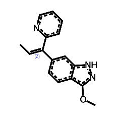 C/C=C(/c1ccc2c(OC)n[nH]c2c1)c1ccccn1